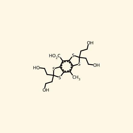 Cc1c2c(c(C(=O)O)c3c1SC(CCO)(CCO)S3)SC(CCO)(CCO)S2